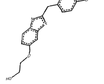 OCCOc1ccc2nc(Cc3ccc(Cl)cc3)sc2c1